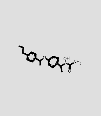 CCCc1ccc(C(C)Oc2ccc(C(C)N(O)C(N)=O)cc2)cc1